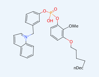 CCCCCCCCCCCCCCOc1cccc(OP(=O)(O)Oc2cccc(C[n+]3cccc4ccccc43)c2)c1OC